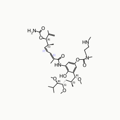 C=C(C)[C@H](OC(N)=O)[C@@H](C)/C=C\C=C(/C)C(=O)Nc1cc(OC(=O)N(C)CCNC)cc([C@H](OC)[C@@H](C)C[C@H](OC)[C@H](OC)C(C)C)c1O